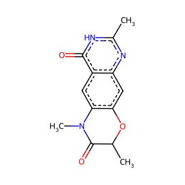 Cc1nc2cc3c(cc2c(=O)[nH]1)N(C)C(=O)C(C)O3